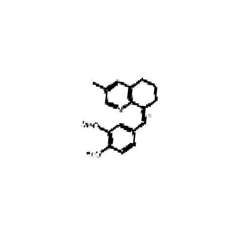 COc1cc(/C=C2/CCCc3cc(C)cnc32)ccc1OC(C)=O